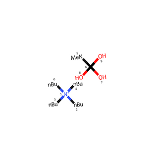 CCCC[N+](CCCC)(CCCC)CCCC.CNC(O)(O)O